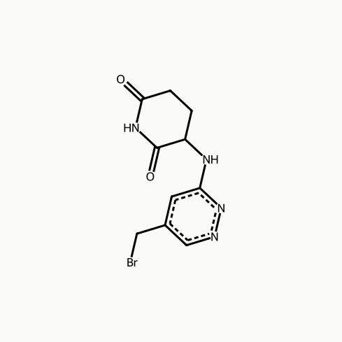 O=C1CCC(Nc2cc(CBr)cnn2)C(=O)N1